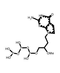 COC(CCn1ccc2c(=O)[nH]c(N)nc21)COP(O)OP(O)OP(O)O